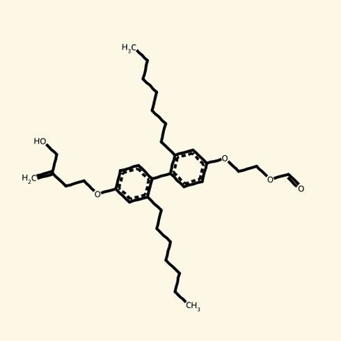 C=C(CO)CCOc1ccc(-c2ccc(OCCOC=O)cc2CCCCCCC)c(CCCCCCC)c1